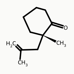 C=C(C)C[C@]1(C)CCCCC1=O